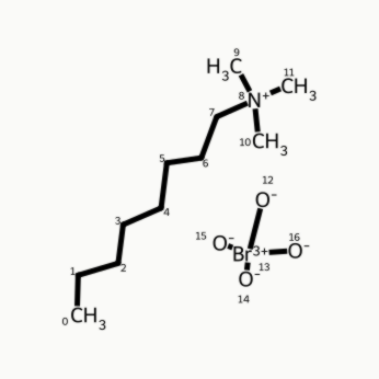 CCCCCCCC[N+](C)(C)C.[O-][Br+3]([O-])([O-])[O-]